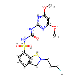 COc1cc(OC)nc(NC(=O)NS(=O)(=O)c2cccc3c2SN(CCCF)C3)n1